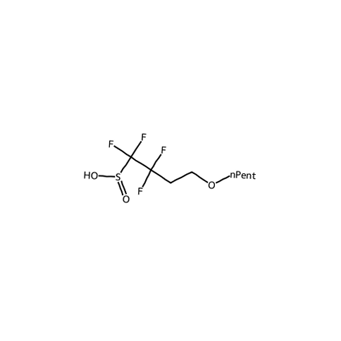 CCCCCOCCC(F)(F)C(F)(F)S(=O)O